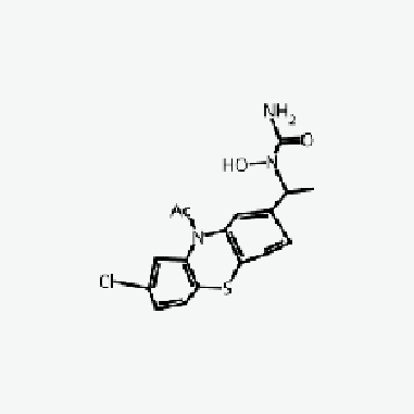 CC(=O)N1c2cc(Cl)ccc2Sc2ccc(C(C)N(O)C(N)=O)cc21